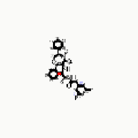 C=C(F)/C=C(\C=C(/C)F)CC(=O)N[C@@H](C)C(=O)N[C@@H]1C(=O)N(C)[C@H](c2ccccc2)CO[C@@H]1c1ccccc1